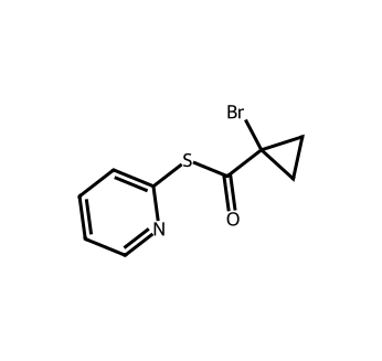 O=C(Sc1ccccn1)C1(Br)CC1